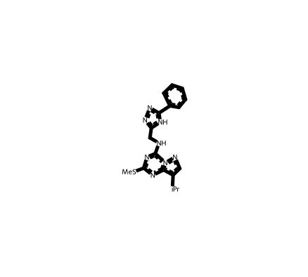 CSc1nc(NCc2nnc(-c3ccccc3)[nH]2)n2ncc(C(C)C)c2n1